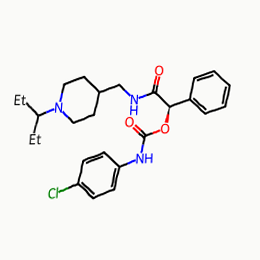 CCC(CC)N1CCC(CNC(=O)[C@H](OC(=O)Nc2ccc(Cl)cc2)c2ccccc2)CC1